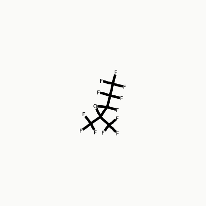 FC(F)(F)C(F)(F)C1(F)OC1(C(F)(F)F)C(F)(F)F